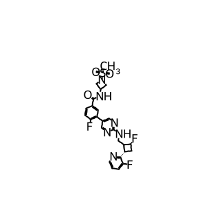 CS(=O)(=O)N1CC(NC(=O)c2ccc(F)c(-c3cnc(NCC4[C@@H](c5ncccc5F)C[C@@H]4F)nc3)c2)C1